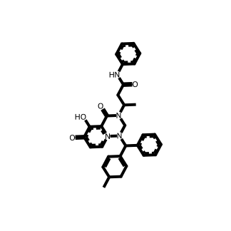 CC1C=CC(C(c2ccccc2)N2CN(C(C)CC(=O)Nc3ccccc3)C(=O)c3c(O)c(=O)ccn32)=CC1